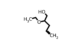 C=CC[C](CO)OCC